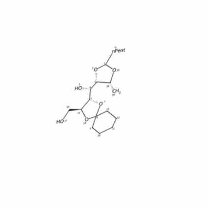 CCCCCC1O[C@@H]([C@@H](O)[C@@H]2OC3(CCCCC3)O[C@H]2CO)[C@@H](C)O1